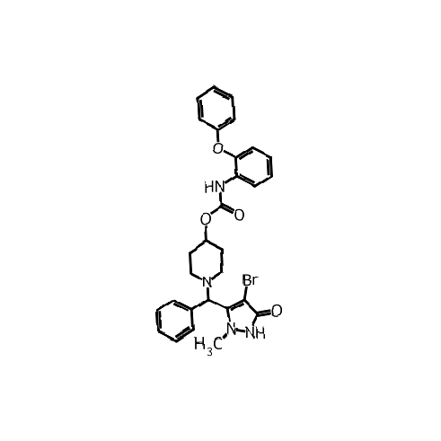 Cn1[nH]c(=O)c(Br)c1C(c1ccccc1)N1CCC(OC(=O)Nc2ccccc2Oc2ccccc2)CC1